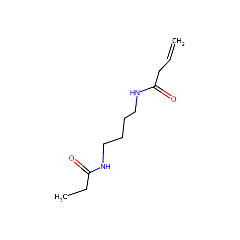 C=CCC(=O)NCCCCNC(=O)CC